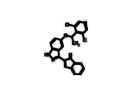 CC(Oc1ccc2[nH]nc(-c3cc4ccccc4[nH]3)c2c1)c1c(Cl)cncc1Cl